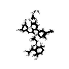 CSc1nc2nc([C@H](Cc3cc(F)cc(F)c3)NC(=O)Cn3nc(C(F)F)c4c3C(F)(F)CCC4(F)F)c(-c3ccc(F)c(C#N)c3)cc2s1